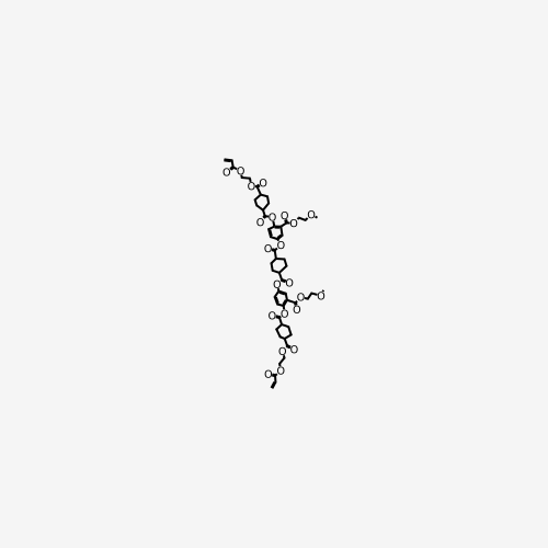 C=CC(=O)OCCOC(=O)C1CCC(C(=O)Oc2ccc(OC(=O)C3CCC(C(=O)Oc4ccc(OC(=O)C5CCC(C(=O)OCCOC(=O)C=C)CC5)c(C(=O)OCCOC)c4)CC3)cc2C(=O)OCCOC)CC1